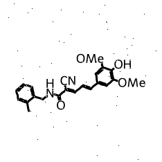 COc1cc(/C=C/C=C(\C#N)C(=O)NCc2ccccc2C)cc(OC)c1O